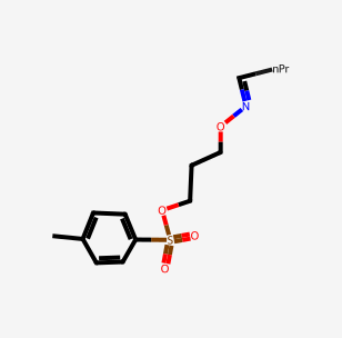 CCCC=NOCCCOS(=O)(=O)c1ccc(C)cc1